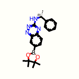 C[C@@H](Nc1nnc2cc(B3OC(C)(C)C(C)(C)O3)ccc2n1)c1ccccc1